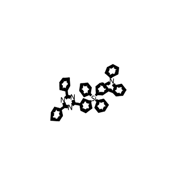 c1ccc(-c2nc(-c3ccccc3)nc(-c3cccc([Si](c4ccccc4)(c4ccccc4)c4ccc5c(c4)c4ccccc4n5-c4ccccc4)c3)n2)cc1